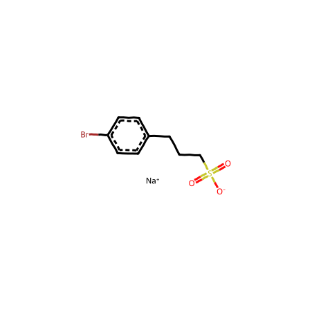 O=S(=O)([O-])CCCc1ccc(Br)cc1.[Na+]